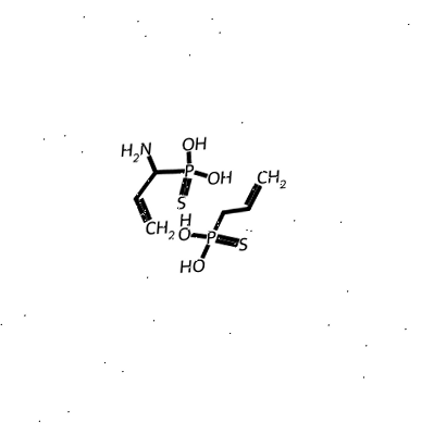 C=CC(N)P(O)(O)=S.C=CCP(O)(O)=S